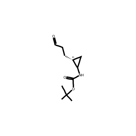 CC(C)(C)OC(=O)NC1C[C@H]1CCC=O